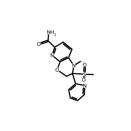 CN1c2ccc(C(N)=O)nc2OCC1(c1ccccn1)S(C)(=O)=O